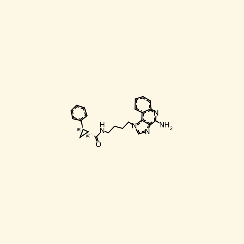 Nc1nc2ccccc2c2c1ncn2CCCCNC(=O)[C@@H]1C[C@H]1c1ccccc1